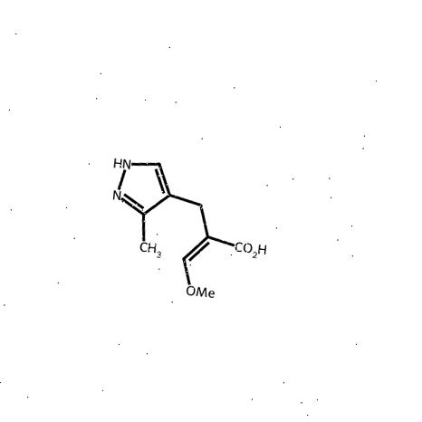 COC=C(Cc1c[nH]nc1C)C(=O)O